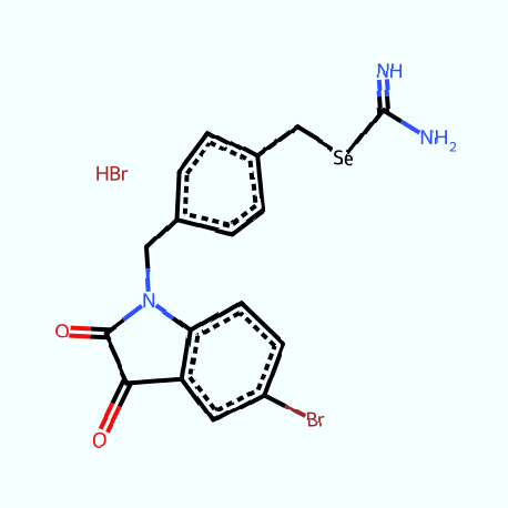 Br.N=C(N)[Se]Cc1ccc(CN2C(=O)C(=O)c3cc(Br)ccc32)cc1